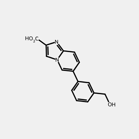 O=C(O)c1cn2cc(-c3cccc(CO)c3)ccc2n1